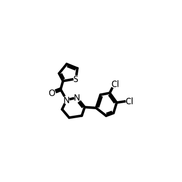 O=C(c1cccs1)N1CCCC(c2ccc(Cl)c(Cl)c2)=N1